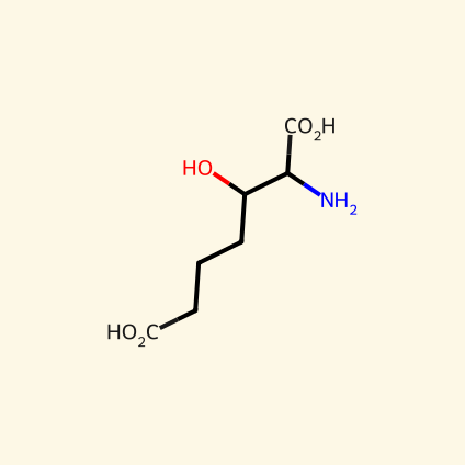 NC(C(=O)O)C(O)CCCC(=O)O